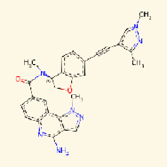 Cc1nn(C)cc1C#Cc1ccc2c(c1)OC[C@H]2N(C)C(=O)c1ccc2nc(N)c3cnn(C)c3c2c1